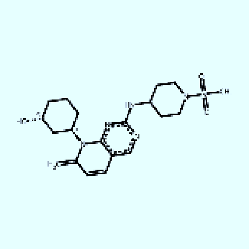 C=C1C=Cc2cnc(NC3CCN(S(C)(=O)=O)CC3)nc2N1[C@@H]1CCC[C@@H](O)C1